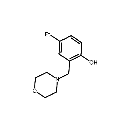 CCc1ccc(O)c(CN2CCOCC2)c1